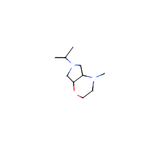 CC(C)N1CC2OCCN(C)C2[C@H]1C